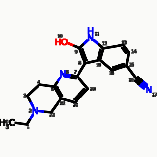 CCN1CCc2nc(-c3c(O)[nH]c4ccc(C#N)cc34)ccc2C1